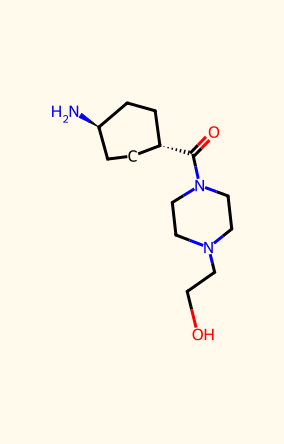 N[C@H]1CC[C@H](C(=O)N2CCN(CCO)CC2)CC1